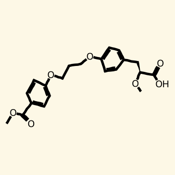 COC(=O)c1ccc(OCCCOc2ccc(C[C@H](OC)C(=O)O)cc2)cc1